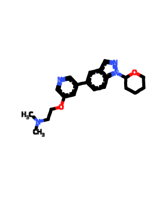 CN(C)CCOc1cncc(-c2ccc3c(cnn3C3CCCCO3)c2)c1